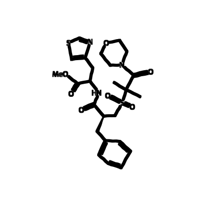 COC(=O)C(Cc1cscn1)NC(=O)[C@H](Cc1ccccc1)CS(=O)(=O)C(C)(C)C(=O)N1CCOCC1